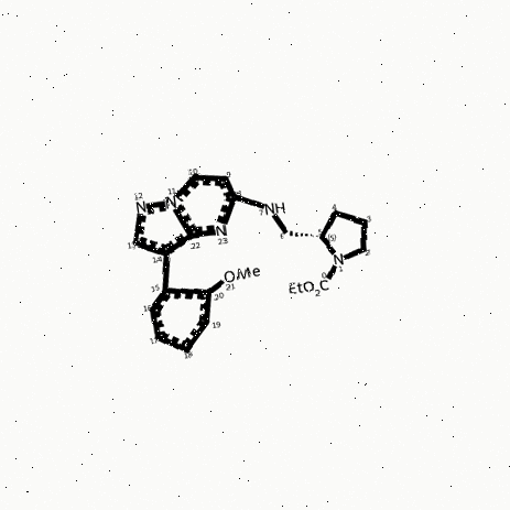 CCOC(=O)N1CCC[C@H]1CNc1ccn2ncc(-c3ccccc3OC)c2n1